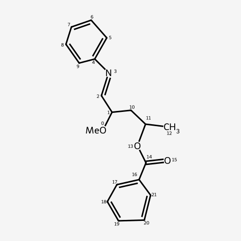 COC(C=Nc1ccccc1)CC(C)OC(=O)c1ccccc1